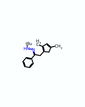 CC1=CC(C)=C(CC(=NNC(C)(C)C)c2ccccc2)C1